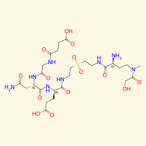 CN(CC[C@H](N)C(=O)NCCS(=O)(=O)CCNC(=O)[C@@H](CCC(=O)O)NC(=O)[C@H](CC(N)=O)NC(=O)CNC(=O)CCC(=O)O)C(=O)CO